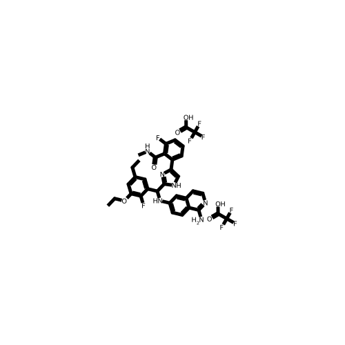 CCOc1cc(CC)cc(C(Nc2ccc3c(N)nccc3c2)c2nc(-c3cccc(F)c3C(=O)NC)c[nH]2)c1F.O=C(O)C(F)(F)F.O=C(O)C(F)(F)F